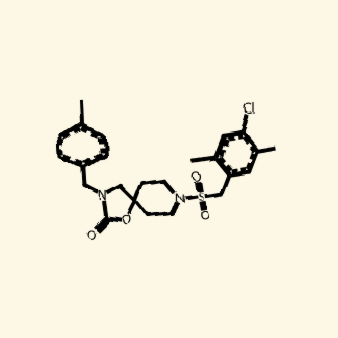 Cc1ccc(CN2CC3(CCN(S(=O)(=O)Cc4cc(C)c(Cl)cc4C)CC3)OC2=O)cc1